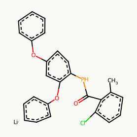 Cc1cccc(Cl)c1C(=O)Pc1ccc(Oc2ccccc2)cc1Oc1ccccc1.[Li]